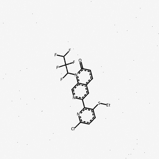 CCSc1ccc(Cl)nc1-c1cc2ccc(=O)n(C(F)C(F)(F)C(F)F)c2cn1